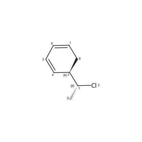 C[C@@H](Cl)[C@H]1C=CC=CC1